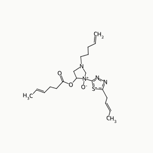 C=CCCCN1CC(OC(=O)CCC=CC)[N+]([O-])(c2nnc(CC=CC)s2)C1